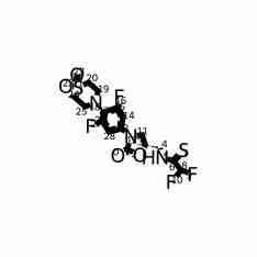 O=C1O[C@@H](CNC(=S)C(F)F)CN1c1cc(F)c(N2CCS(=O)(=O)CC2)c(F)c1